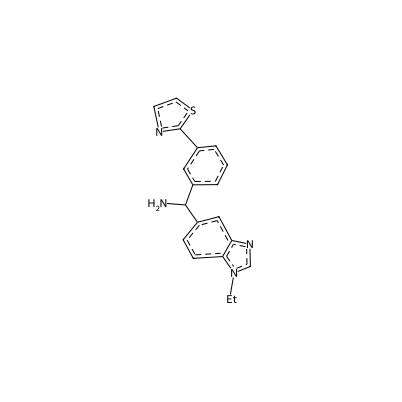 CCn1cnc2cc(C(N)c3cccc(-c4nccs4)c3)ccc21